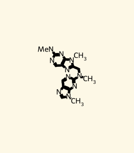 CNc1ncc2nc(CN(C)c3ncc4ncn(C)c4n3)n(C)c2n1